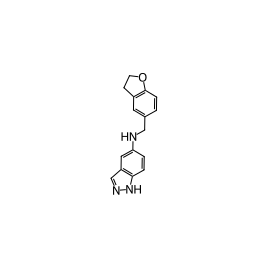 c1cc2c(cc1CNc1ccc3[nH]ncc3c1)CCO2